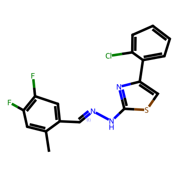 Cc1cc(F)c(F)cc1/C=N/Nc1nc(-c2ccccc2Cl)cs1